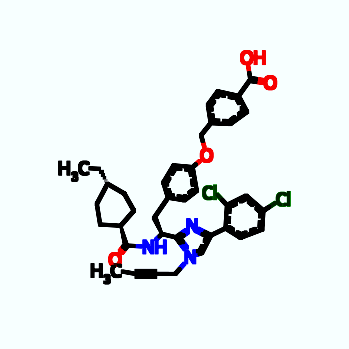 CC#CCn1cc(-c2ccc(Cl)cc2Cl)nc1[C@H](Cc1ccc(OCc2ccc(C(=O)O)cc2)cc1)NC(=O)[C@H]1CC[C@H](CC)CC1